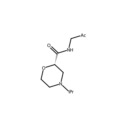 CC(=O)CNC(=O)[C@@H]1CN(C(C)C)CCO1